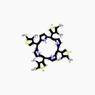 CCCc1scc(C2=C3C=CC(=N3)C(c3csc(CCC)c3CCC)=C3C=CC(=N3)C(c3csc(CCC)c3CCC)=C3C=CC(=N3)C(c3csc(CCC)c3CCC)=C3C=CC2=N3)c1CCC